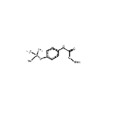 CCCCCCOC(=O)Nc1ccc(O[Si](C)(C)C(C)(C)C)cn1